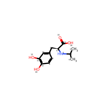 CC(C)N[C@@H](Cc1ccc(O)c(O)c1)C(=O)O